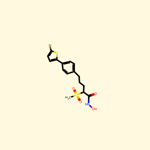 CS(=O)(=O)C(CCCc1ccc(-c2ccc(Br)s2)cc1)C(=O)NO